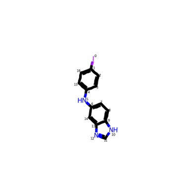 Ic1ccc(Nc2ccc3[nH]cnc3c2)cc1